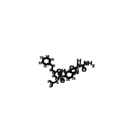 CC(C)CN(CC(O)[CH]Cc1ccccc1)S(=O)(=O)c1ccc2nc(NC(N)=O)oc2c1